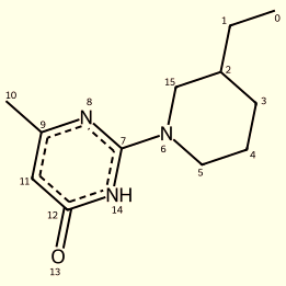 CCC1CCCN(c2nc(C)cc(=O)[nH]2)C1